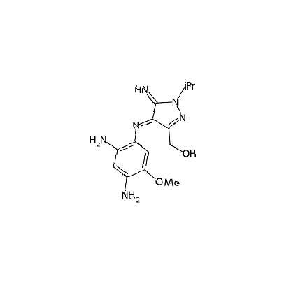 COc1cc(N=C2C(=N)N(C(C)C)N=C2CO)c(N)cc1N